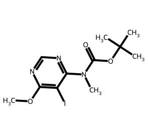 COc1ncnc(N(C)C(=O)OC(C)(C)C)c1I